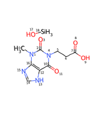 Cn1c(=O)n(CCC(=O)O)c(=O)c2[nH]cnc21.O[SiH3]